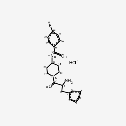 Cl.NC(Cc1ccccc1)C(=O)N1CCC(NC(=O)c2ccc(F)cc2)CC1